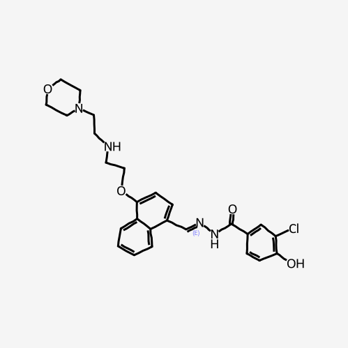 O=C(N/N=C/c1ccc(OCCNCCN2CCOCC2)c2ccccc12)c1ccc(O)c(Cl)c1